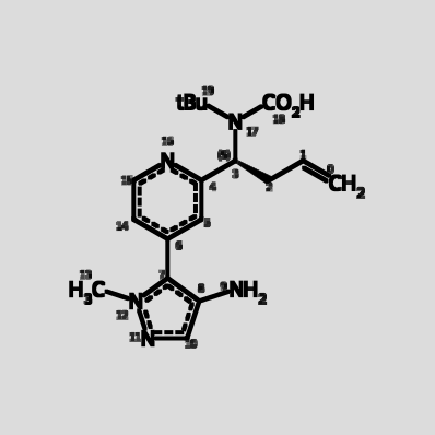 C=CC[C@@H](c1cc(-c2c(N)cnn2C)ccn1)N(C(=O)O)C(C)(C)C